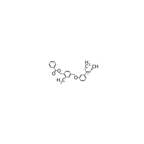 C#C/C=C(\CC)c1cccc(OCc2ccc(COC(=O)c3ccccc3)c([CH2])c2)c1